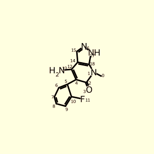 Cn1c(=O)c(-c2ccccc2F)c(N)c2cn[nH]c21